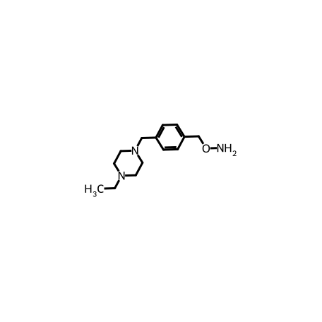 CCN1CCN(Cc2ccc(CON)cc2)CC1